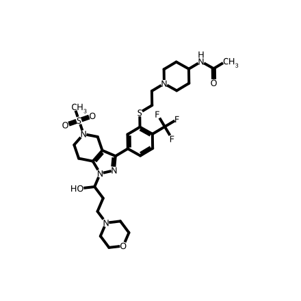 CC(=O)NC1CCN(CCSc2cc(-c3nn(C(O)CCN4CCOCC4)c4c3CN(S(C)(=O)=O)CC4)ccc2C(F)(F)F)CC1